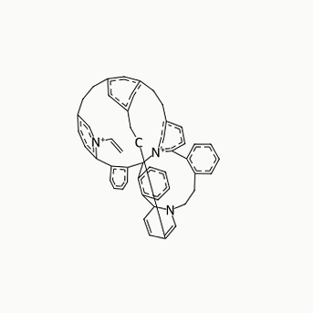 C=C[n+]1cc2ccc1-c1ccccc1C1c3ccccc3C3C=CC4=CN3CCc3ccccc3-c3ccc(c[n+]31)CCc1cc(cc(c1)CC2)CC4